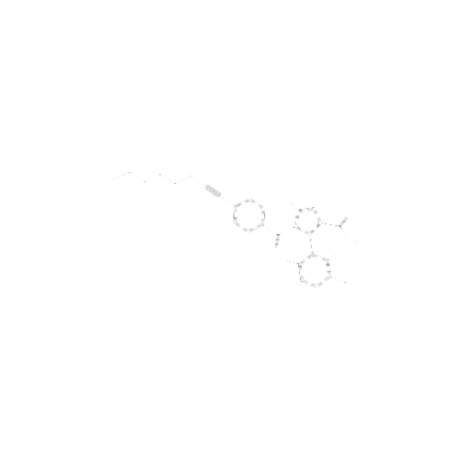 COC(=O)c1cn(C)c(C(=O)c2ccc(C#CCCCCCCO)cc2)c1-c1c(F)ccc(F)c1C